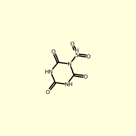 O=c1[nH]c(=O)n([SH](=O)=O)c(=O)[nH]1